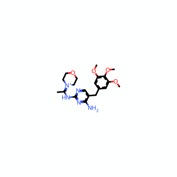 COc1cc(Cc2cnc(NC(C)=[N+]3CCOCC3)nc2N)cc(OC)c1OC